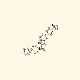 CS(=O)(=O)c1ccc(-c2cnc3[nH]c(C(=O)N4CCC(c5ccccc5)CC4)cc3c2)cc1